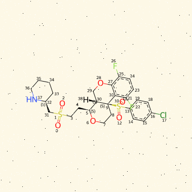 O=S(=O)(CC[C@@H]1OCC[C@@]2(S(=O)(=O)c3ccc(Cl)cc3)c3c(F)ccc(F)c3OC[C@@H]12)C[C@@H]1CCCCN1